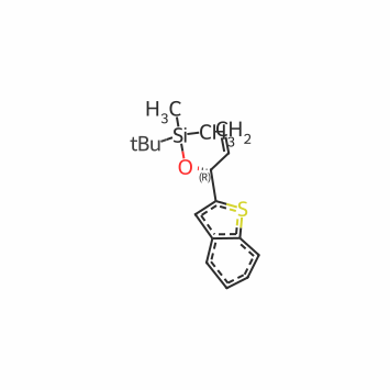 C=C[C@@H](O[Si](C)(C)C(C)(C)C)c1cc2ccccc2s1